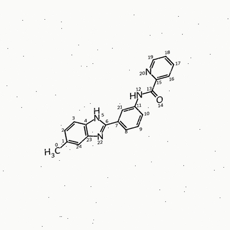 Cc1ccc2[nH]c(-c3cccc(NC(=O)c4ccccn4)c3)nc2c1